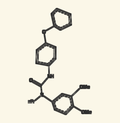 CCCN(C(=O)Nc1ccc(Oc2ccccc2)cc1)c1ccc(OC)c(OC)c1